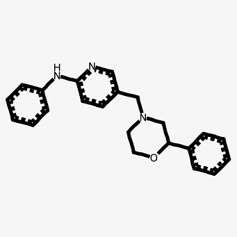 c1ccc(Nc2ccc(CN3CCOC(c4ccccc4)C3)cn2)cc1